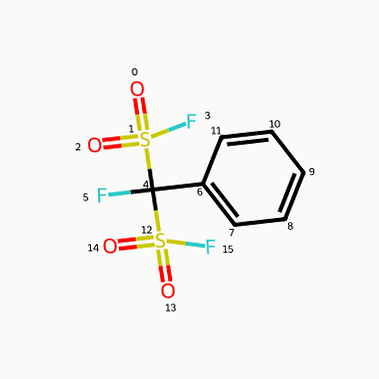 O=S(=O)(F)C(F)(c1ccccc1)S(=O)(=O)F